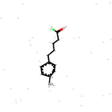 O=C(Cl)CCCCc1ccc([N+](=O)[O-])cc1